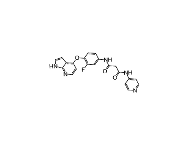 O=C(CC(=O)Nc1ccc(Oc2ccnc3[nH]ccc23)c(F)c1)Nc1ccncc1